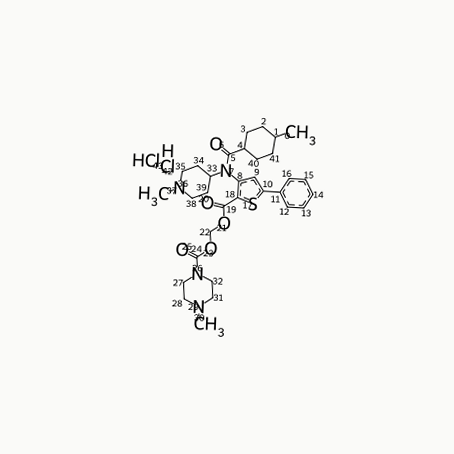 CC1CCC(C(=O)N(c2cc(-c3ccccc3)sc2C(=O)OCOC(=O)N2CCN(C)CC2)C2CCN(C)CC2)CC1.Cl.Cl